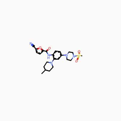 CC1CCN(c2cc(N3CCN(S(C)(=O)=O)CC3)ccc2NC(=O)c2ccc(C#N)o2)CC1